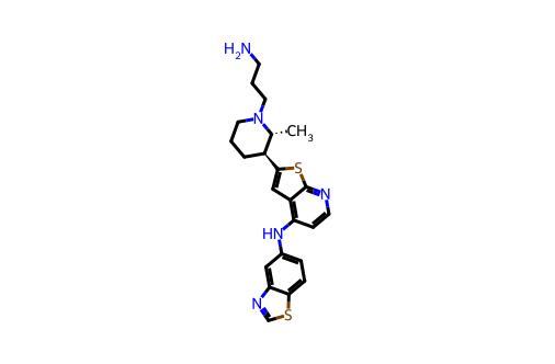 C[C@@H]1[C@@H](c2cc3c(Nc4ccc5scnc5c4)ccnc3s2)CCCN1CCCN